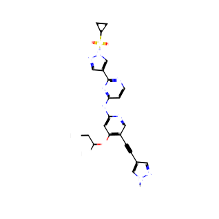 CCC(C)Oc1cc(Nc2ccnc(-c3cnn(S(=O)(=O)C4CC4)c3)n2)ncc1C#Cc1cnn(C)c1